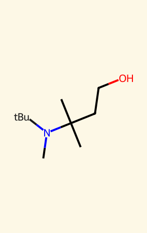 CN(C(C)(C)C)C(C)(C)CCO